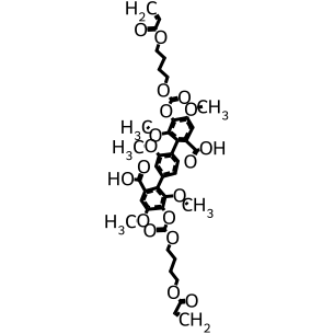 C=CC(=O)OCCCCOC(=O)Oc1c(OC)cc(C(=O)O)c(-c2ccc(-c3c(C(=O)O)cc(OC)c(OC(=O)OCCCCOC(=O)C=C)c3OC)c(OC)c2)c1OC